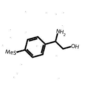 CSc1ccc(C(N)CO)cc1